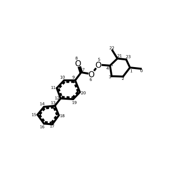 CC1CC[C](OOC(=O)c2ccc(-c3ccccc3)cc2)C(C)C1